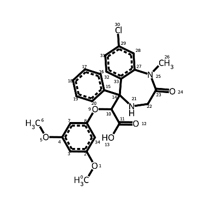 COc1cc(OC)cc(OC(C(=O)O)C2(c3ccccc3)NCC(=O)N(C)c3cc(Cl)ccc32)c1